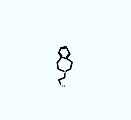 OCCN1CCc2ccccc2CC1